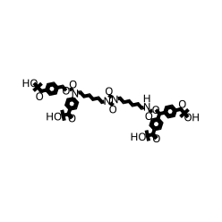 CC(C)(O)C(=O)c1ccc(COC(=O)N(CCCCCCN2C(=O)N(CCCCCCNC(=O)OC(c3ccc(C(=O)C(C)(C)O)cc3)c3ccc(C(=O)C(C)(C)O)cc3)C2=O)c2ccc(C(=O)C(C)(C)O)cc2)cc1